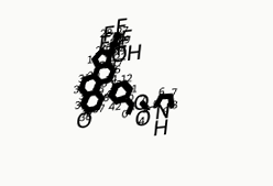 CC(OC(=O)[C@@H]1CCCN1)c1ccc([C@H]2C[C@@]3(C)C(CC[C@@]3(O)C(F)(F)C(F)(F)F)C3CCC4=CC(=O)CCC4=C32)cc1